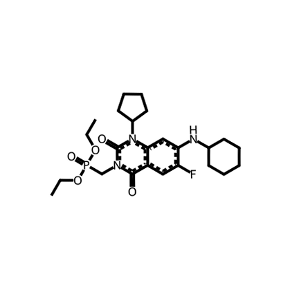 CCOP(=O)(Cn1c(=O)c2cc(F)c(NC3CCCCC3)cc2n(C2CCCC2)c1=O)OCC